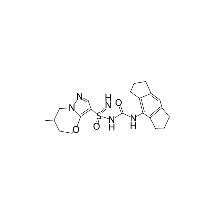 CC1CCOc2c(S(=N)(=O)NC(=O)Nc3c4c(cc5c3CCC5)CCC4)cnn2C1